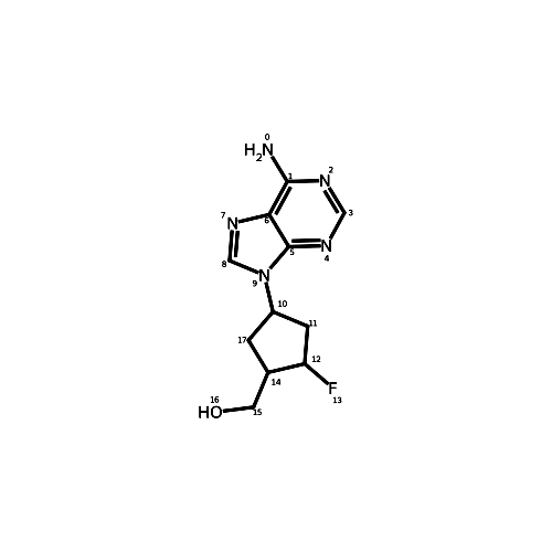 Nc1ncnc2c1ncn2C1CC(F)C(CO)C1